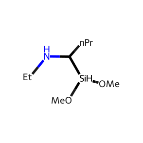 CCCC(NCC)[SiH](OC)OC